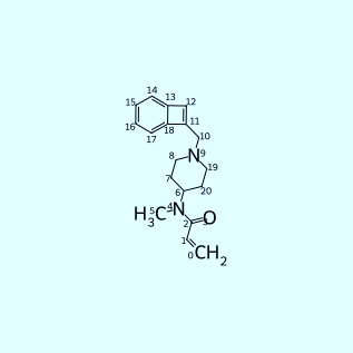 C=CC(=O)N(C)C1CCN(CC2=Cc3ccccc32)CC1